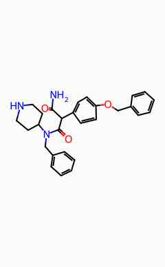 NC(=O)C(C(=O)N(Cc1ccccc1)C1CCNCC1)c1ccc(OCc2ccccc2)cc1